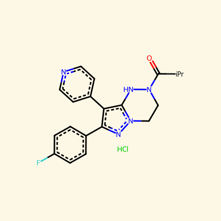 CC(C)C(=O)N1CCn2nc(-c3ccc(F)cc3)c(-c3ccncc3)c2N1.Cl